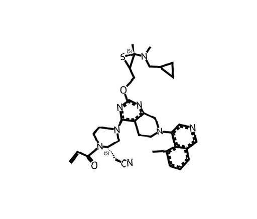 C=CC(=O)N1CCN(c2nc(OCC3S[C@]3(C)N(C)CC3CC3)nc3c2CCN(c2cncc4cccc(C)c24)C3)C[C@@H]1CC#N